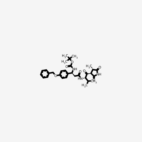 CC(C)[C@H](NC(=O)C[C@H](NC(=O)OC(C)(C)C)c1ccc(OCc2ccccc2)cc1)C(=O)[C@@H]1C(=O)NC(=O)[C@H]1C